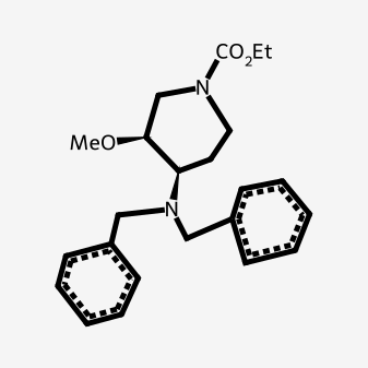 CCOC(=O)N1CC[C@@H](N(Cc2ccccc2)Cc2ccccc2)[C@@H](OC)C1